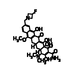 COc1c2c(c(O)c3cc(CN4CC(F)C4)ccc13)C(=O)C1=C(O)[C@]3(O)C(=O)C(C(N)=O)=C(O)[C@@H](N(C)C)[C@@H]3C[C@@H]1C2